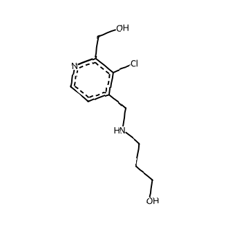 OCCCNCc1ccnc(CO)c1Cl